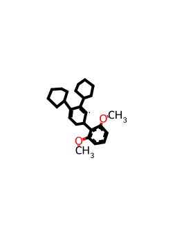 COc1cccc(OC)c1C1[C]=C(C2CCCCC2)C(C2CCCCC2)=CC1